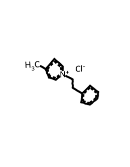 Cc1cc[n+](CCc2ccccc2)cc1.[Cl-]